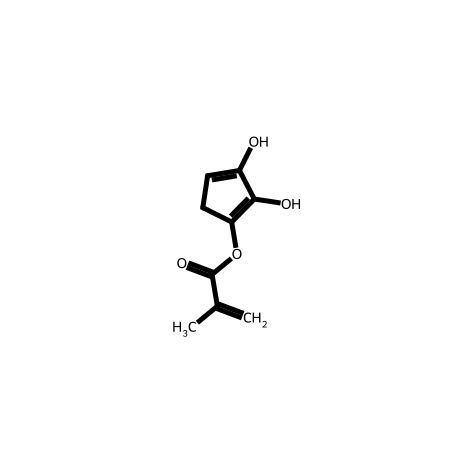 C=C(C)C(=O)OC1=C(O)C(O)=CC1